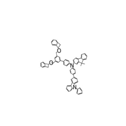 CC1(C)c2ccccc2-c2ccc(N(c3ccc(-c4cc(COC5Cc6ccccc65)cc(COC5Cc6ccccc65)c4)cc3)c3ccc(-c4ccc5c(c4)c4ccccc4n5-c4ccccc4)cc3)cc21